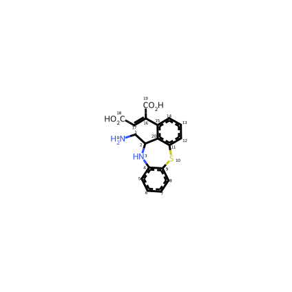 NCC1Nc2ccccc2Sc2cccc(C(=CC(=O)O)C(=O)O)c21